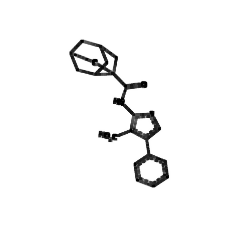 O=C(O)c1c(-c2ccccc2)csc1NC(=O)C12CC3CC(CC1C3)C2